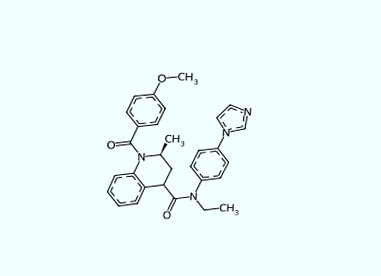 CCN(C(=O)C1C[C@H](C)N(C(=O)c2ccc(OC)cc2)c2ccccc21)c1ccc(-n2ccnc2)cc1